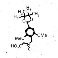 COc1cc(B2OC(C)(C)C(C)(C)O2)cc(OC)c1CN(C)CC(=O)O